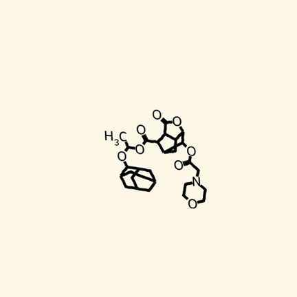 CC(OC(=O)C1C2CC3C(OC(=O)C31)C2OC(=O)CN1CCOCC1)OC1C2CC3CC(C2)CC1C3